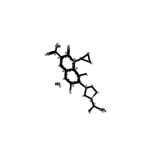 Cc1c(N2CC[C@H]([C@H](C)N)C2)c(F)cc2cc(C(=O)O)c(=O)n(C3CC3)c12.Cl